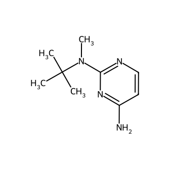 CN(c1nccc(N)n1)C(C)(C)C